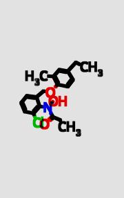 CCC(=O)N(O)c1c(Cl)cccc1COc1ccc(CC)cc1C